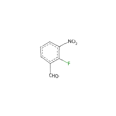 O=[C]c1cccc([N+](=O)[O-])c1F